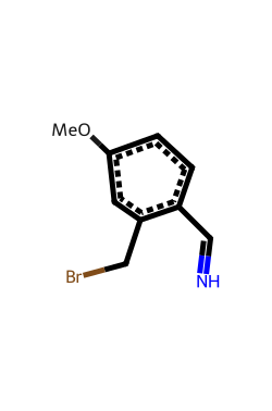 COc1ccc(C=N)c(CBr)c1